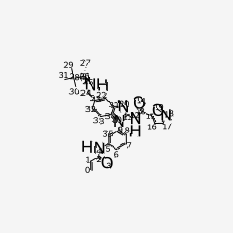 C=CC(=O)Nc1cccc(-n2c(NC(=O)c3ccno3)nc3cc(CN[C@@H](C)C(C)(C)C)ccc32)c1